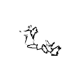 COC[C@H]1CN(Cc2ccc(-c3ccccc3S(N)(=O)=O)cc2)O[C@@H]1c1cccc(C(=N)N)c1